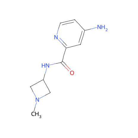 CN1CC(NC(=O)c2cc(N)ccn2)C1